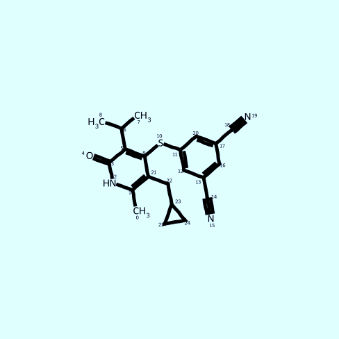 Cc1[nH]c(=O)c(C(C)C)c(Sc2cc(C#N)cc(C#N)c2)c1CC1CC1